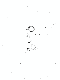 CC(C)(C)OC(=O)N1C[C@H](F)C[C@H]1C(=O)N[C@H]1C[C@@H]1c1ccccc1F